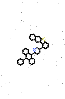 c1ccc(-c2c3ccccc3c(-c3ccc(-c4cccc5sc6cc7ccccc7cc6c45)cn3)c3ccccc23)cc1